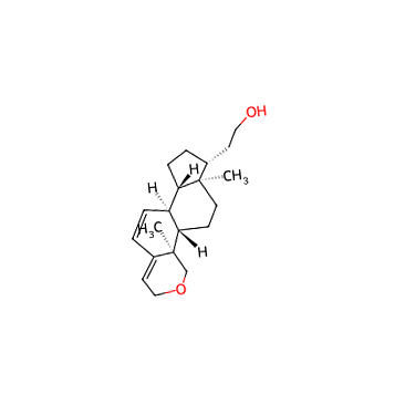 C[C@]12CC[C@H]3[C@@H](C=CC4=CCOC[C@@]43C)[C@@H]1CC[C@@H]2CCO